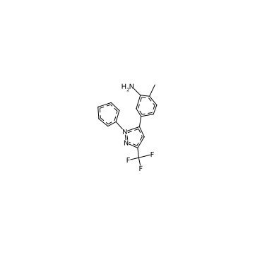 Cc1ccc(-c2cc(C(F)(F)F)nn2-c2ccccc2)cc1N